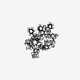 CC(=O)O[C@H]1C(=O)[C@@]2(C)[C@H]([C@H](OC(=O)c3ccccc3)[C@]3(O)C[C@H](OC(=O)[C@H](OC(=O)C(CC(C)C)NC(=O)C(C)NC(=O)C(CC(C)C)NC(=O)CCNC(=O)CCC(=O)OC(C)(C)C)[C@@H](NC(=O)c4ccccc4)c4ccccc4)C(C)=C1C3(C)C)[C@]1(OC(C)=O)CO[C@@H]1C[C@@H]2O